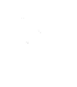 COC(=O)C(O)C1CN(Cc2ccccc2)CCN1Cc1ccccc1